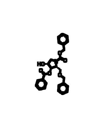 O=C(O[C@H]1[C@H](O)CN(C(=O)OCc2ccccc2)[C@@H]1COCc1ccccc1)c1ccccc1